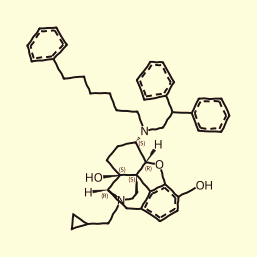 Oc1ccc2c3c1O[C@H]1[C@@H](N(CCCCCCc4ccccc4)CC(c4ccccc4)c4ccccc4)CC[C@@]4(O)[C@@H](C2)N(CC2CC2)CC[C@]314